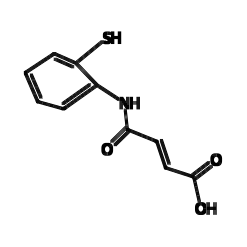 O=C(O)C=CC(=O)Nc1ccccc1S